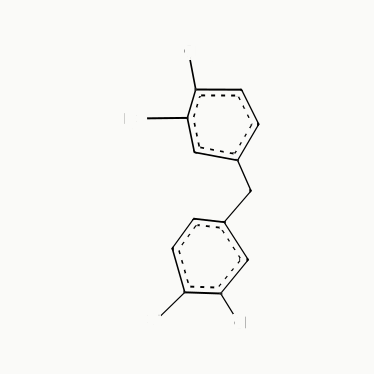 Cc1ccc(Cc2ccc(Cl)c(Cl)c2)cc1C